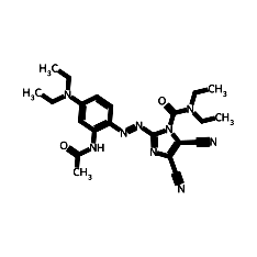 CCN(CC)C(=O)n1c(/N=N/c2ccc(N(CC)CC)cc2NC(C)=O)nc(C#N)c1C#N